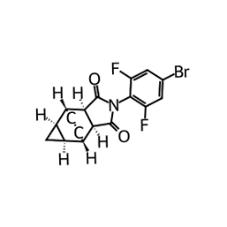 O=C1[C@@H]2[C@@H]3CC[C@@H]([C@H]4C[C@H]43)[C@@H]2C(=O)N1c1c(F)cc(Br)cc1F